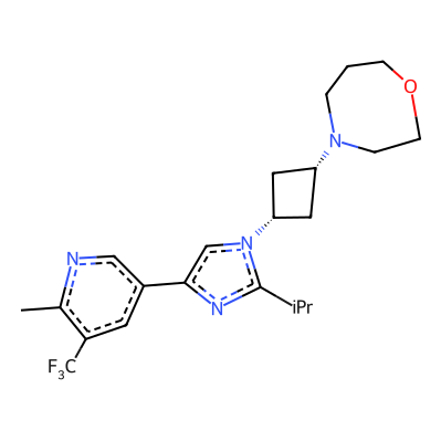 Cc1ncc(-c2cn([C@H]3C[C@@H](N4CCCOCC4)C3)c(C(C)C)n2)cc1C(F)(F)F